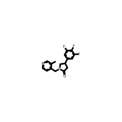 Cc1cnccc1CN1CC(c2cc(F)c(F)c(F)c2)CC1=O